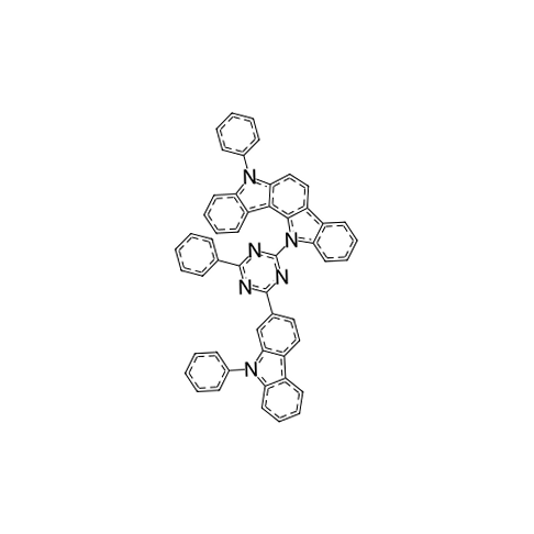 c1ccc(-c2nc(-c3ccc4c5ccccc5n(-c5ccccc5)c4c3)nc(-n3c4ccccc4c4ccc5c(c6ccccc6n5-c5ccccc5)c43)n2)cc1